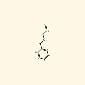 C=ICOCc1ccccc1